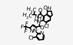 CC(C)NC(=O)c1c(NC(=O)c2cc(C(F)(F)F)nn2-c2ncccc2Cl)c(Cl)cc2c1C(O)CC2